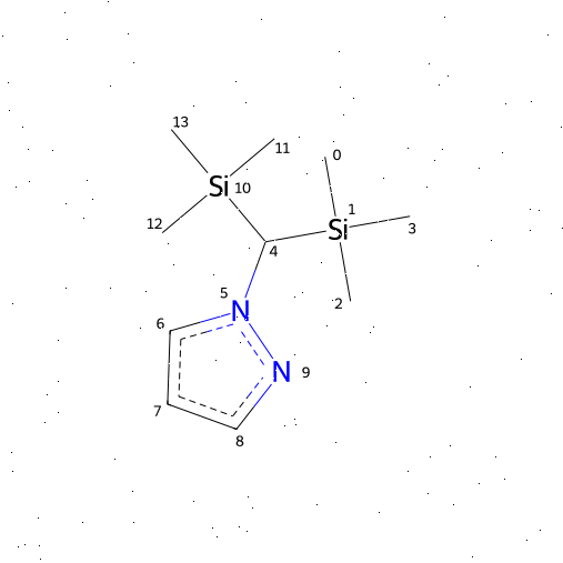 C[Si](C)(C)C(n1cccn1)[Si](C)(C)C